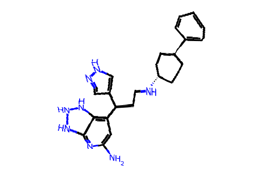 Nc1cc(C(CCN[C@H]2CC[C@H](c3ccccc3)CC2)c2cn[nH]c2)c2c(n1)NNN2